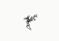 O=C1CN(S(=O)(=O)c2ccc3cc(Cl)ccc3c2)CCN1C(c1ccnc(Cl)n1)C1(O)CCNCC1